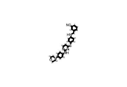 N#Cc1cccc(CNc2ccc(Sc3ccnc(Nc4ccc(N5CCOCC5)cc4)n3)cc2)c1